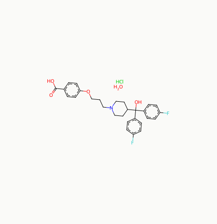 Cl.O.O=C(O)c1ccc(OCCCN2CCC(C(O)(c3ccc(F)cc3)c3ccc(F)cc3)CC2)cc1